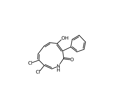 O=c1[nH]cc(Cl)c(Cl)cccc(O)c1-c1ccccc1